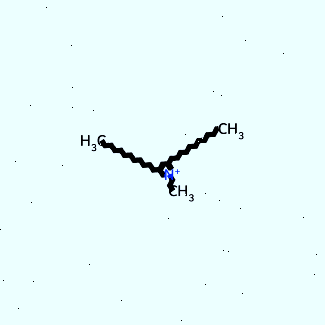 CCCCCCCCCCCCc1cc(CCCCCCCCCCCC)c[n+](CCC)c1